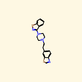 c1ccc2c(N3CCN(CCc4ccc5ncsc5c4)CC3)nsc2c1